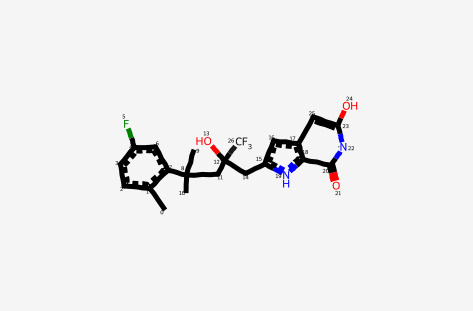 Cc1ccc(F)cc1C(C)(C)CC(O)(Cc1cc2c([nH]1)C(=O)[N]C(O)=C2)C(F)(F)F